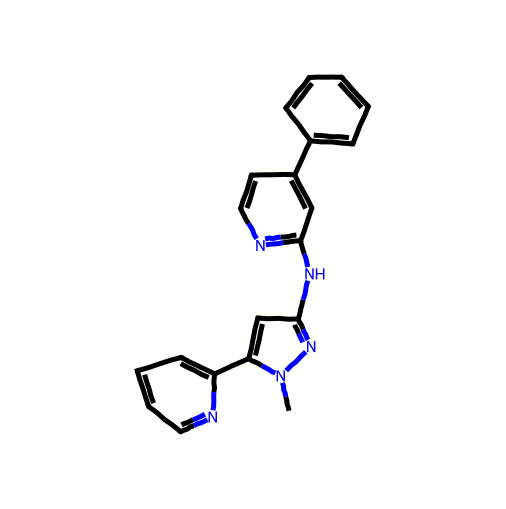 Cn1nc(Nc2cc(-c3ccccc3)ccn2)cc1-c1ccccn1